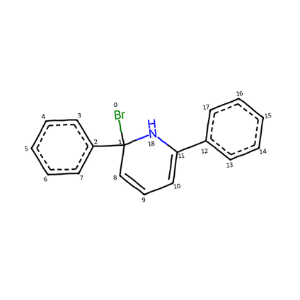 BrC1(c2ccccc2)C=CC=C(c2ccccc2)N1